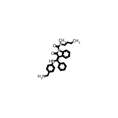 CCCCN(C)C(=O)N1C(=O)/C(=C(\Nc2ccc(CN)cc2)c2ccccc2)c2ccccc21